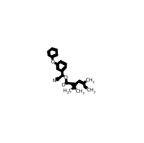 C=CC(C)=CC1C(C(=O)OC(C#N)c2cccc(Oc3ccccc3)c2)C1(C)C